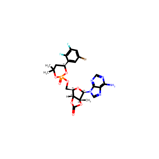 CC1(C)C[C@@H](c2cc(Br)cc(F)c2F)OP(=O)(OC[C@H]2O[C@@H](n3cnc4c(N)ncnc43)[C@]3(C)OC(=O)O[C@H]23)O1